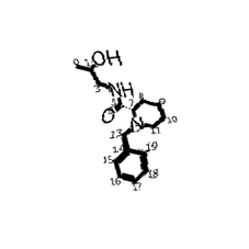 CC(O)CNC(=O)[C@@H]1CCCCN1Cc1ccccc1